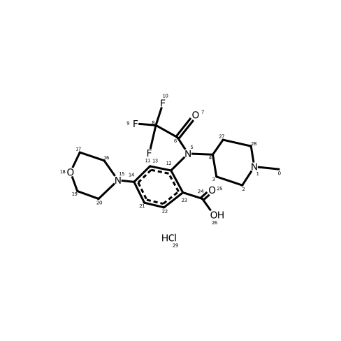 CN1CCC(N(C(=O)C(F)(F)F)c2cc(N3CCOCC3)ccc2C(=O)O)CC1.Cl